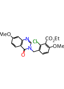 CCOC(=O)c1c(OC)ccc(Cn2cnc3cc(OC)ccc3c2=O)c1Cl